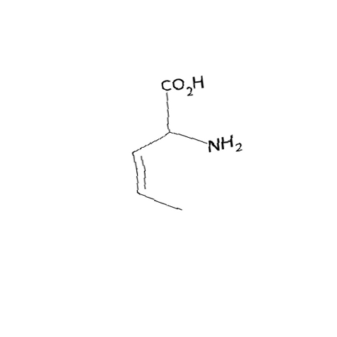 C/C=C\C(N)C(=O)O